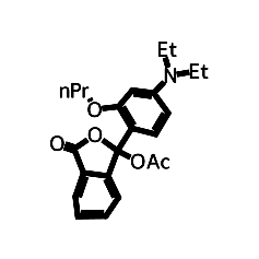 CCCOc1cc(N(CC)CC)ccc1C1(OC(C)=O)OC(=O)c2ccccc21